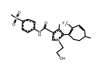 Cc1c(C(=O)Nc2ccc(S(C)(=O)=O)cc2)cn(CCO)c1C1=C(C(F)(F)F)C=CC(C)CC1